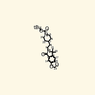 CC(C)(C)OC(=O)N1CCC(CCN2C(=O)c3cc4c(cc3C2(C)C)OCO4)CC1